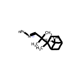 CCC/N=C/C(C)(C)C1(C)CCC2CC1C2(C)C